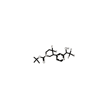 CC(C)(C)OC(=O)N1CCC(F)(F)C(c2ccnc(C(O)C(F)(F)F)c2)C1